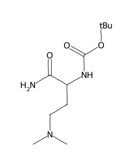 CN(C)CCC(NC(=O)OC(C)(C)C)C(N)=O